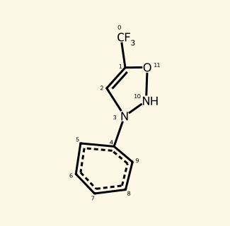 FC(F)(F)C1=CN(c2ccccc2)NO1